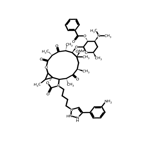 CO[C@@]1(C)C[C@@H](C)C(=O)[C@H](C)C2N(CCCCN3C=C(c4cccc(N)c4)NN3)C(=O)O[C@@]23C(C)C3OC(=O)[C@H](C)C(=O)[C@H](C)[C@H]1OC1O[C@H](C)C[C@H](N(C)C)[C@H]1OC(=O)c1ccccc1